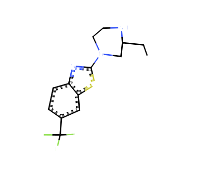 CCC1CN(c2nc3ccc(C(F)(F)F)cc3s2)CCN1